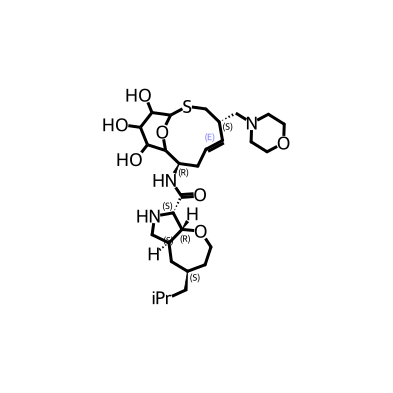 CC(C)C[C@@H]1CCO[C@@H]2[C@H](CN[C@@H]2C(=O)N[C@@H]2C/C=C/[C@@H](CN3CCOCC3)CSC3OC2C(O)C(O)C3O)C1